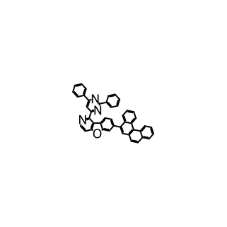 c1ccc(-c2cc(-c3nccc4oc5cc(-c6cc7ccc8ccccc8c7c7ccccc67)ccc5c34)nc(-c3ccccc3)n2)cc1